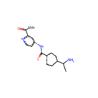 CNC(=O)c1cc(NC(=O)C2CCC(C(C)N)CC2)ccn1